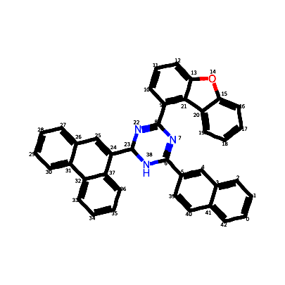 c1ccc2cc(C3=NC(c4cccc5oc6ccccc6c45)=NC(c4cc5ccccc5c5ccccc45)N3)ccc2c1